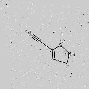 N#CC1=[C]CNS1